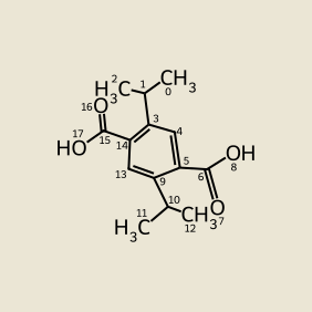 CC(C)c1cc(C(=O)O)c(C(C)C)cc1C(=O)O